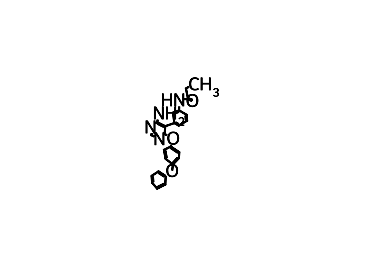 CCC(=O)Nc1cccc(-c2c(N)ncnc2Oc2ccc(Oc3ccccc3)cc2)c1